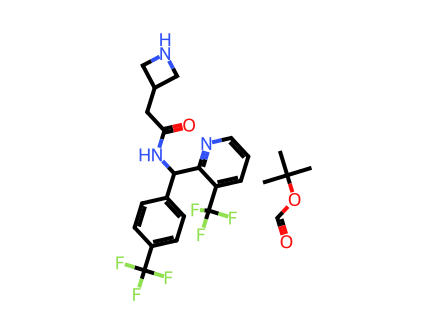 CC(C)(C)OC=O.O=C(CC1CNC1)NC(c1ccc(C(F)(F)F)cc1)c1ncccc1C(F)(F)F